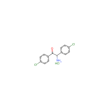 Cl.NC(C(=O)c1ccc(Cl)cc1)c1ccc(Cl)cc1